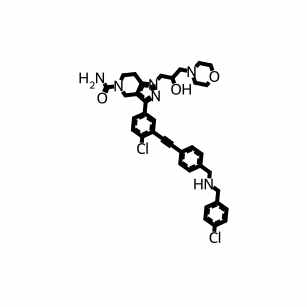 NC(=O)N1CCc2c(c(-c3ccc(Cl)c(C#Cc4ccc(CNCc5ccc(Cl)cc5)cc4)c3)nn2CC(O)CN2CCOCC2)C1